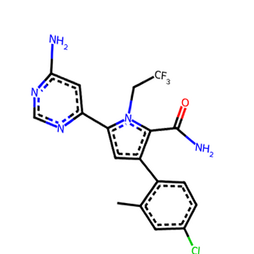 Cc1cc(Cl)ccc1-c1cc(-c2cc(N)ncn2)n(CC(F)(F)F)c1C(N)=O